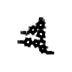 COc1ccc([C@@H]2CN(C3CCC(O)CC3)C[C@H]2C(=O)N2CCC(c3ccc(C(F)(F)F)cc3N3CCC(C(=O)O)CC3)CC2)cc1